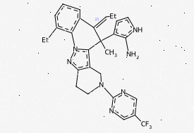 CC/C=C1/c2cccc(CC)c2-n2nc3c(c2C1(C)c1cc[nH]c1N)CN(c1ncc(C(F)(F)F)cn1)CC3